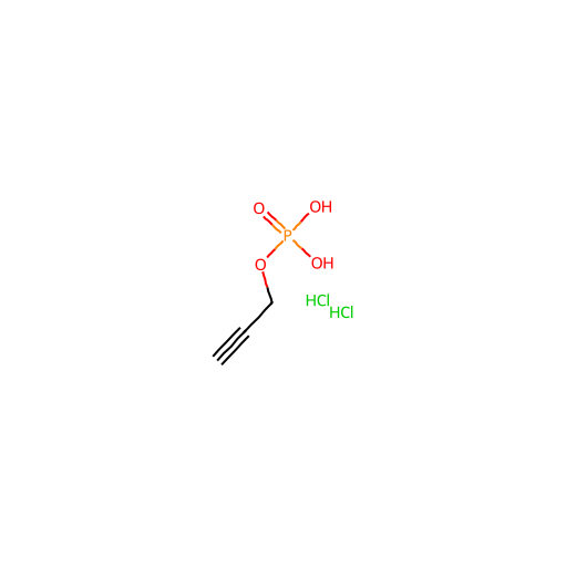 C#CCOP(=O)(O)O.Cl.Cl